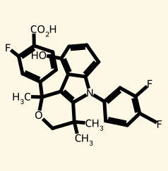 CC1(C)COC(C)(c2ccc(C(=O)O)c(F)c2)c2c1n(-c1ccc(F)c(F)c1)c1cccc(O)c21